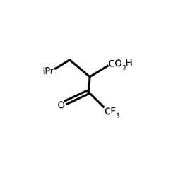 CC(C)CC(C(=O)O)C(=O)C(F)(F)F